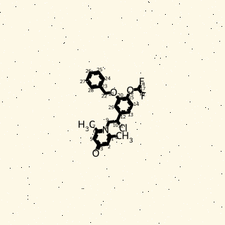 Cc1cc(=O)cc(C)n1CC(Cl)c1ccc(OC(F)F)c(OCc2ccccc2)c1